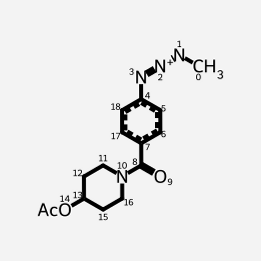 CN=[N+]=Nc1ccc(C(=O)N2CCC(OC(C)=O)CC2)cc1